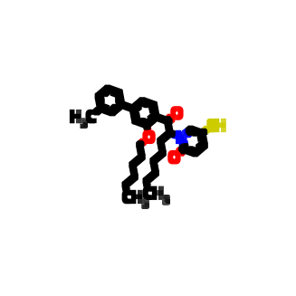 CCCCCCOc1cc(-c2cccc(C)c2)ccc1C(=O)C(CCCCCC)n1cc(S)ccc1=O